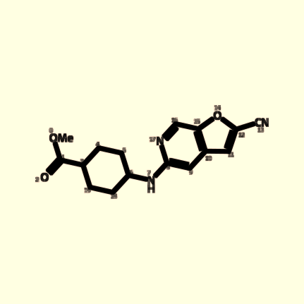 COC(=O)C1CCC(Nc2cc3cc(C#N)oc3cn2)CC1